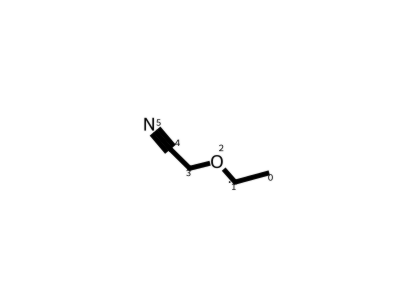 C[CH]OCC#N